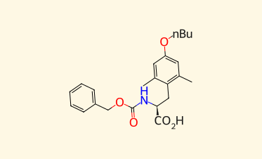 CCCCOc1cc(C)c(C[C@H](NC(=O)OCc2ccccc2)C(=O)O)c(C)c1